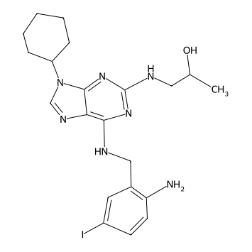 CC(O)CNc1nc(NCc2cc(I)ccc2N)c2ncn(C3CCCCC3)c2n1